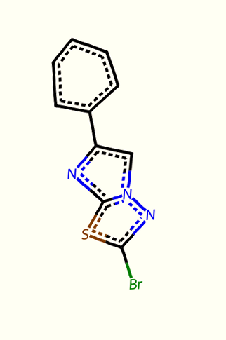 Brc1nn2cc(-c3ccccc3)nc2s1